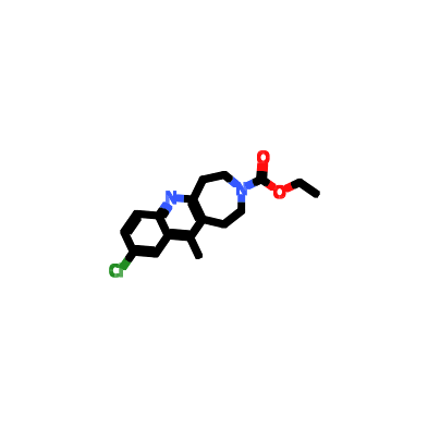 CCOC(=O)N1CCc2nc3ccc(Cl)cc3c(C)c2CC1